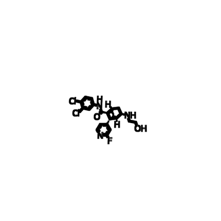 O=C(Nc1ccc(Cl)c(Cl)c1)[C@@H]1[C@@H](c2ccnc(F)c2)[C@H]2O[C@@H]1C[C@H]2NCCO